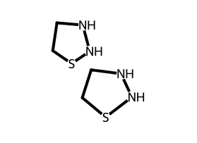 C1CSNN1.C1CSNN1